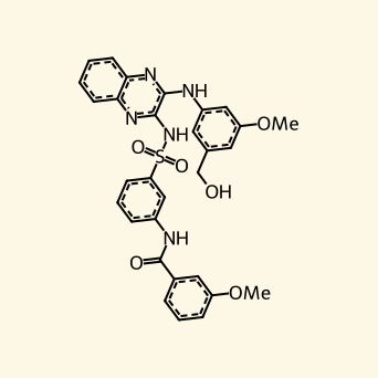 COc1cc(CO)cc(Nc2nc3ccccc3nc2NS(=O)(=O)c2cccc(NC(=O)c3cccc(OC)c3)c2)c1